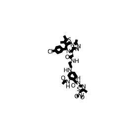 CC(=O)Nc1cc(NCCNC(=O)C[C@@H]2N=C(c3ccc(Cl)cc3)c3c(sc(C)c3C)-n3c(C)nnc32)ccc1C(=O)Nc1nc(C)c([N+](=O)[O-])s1